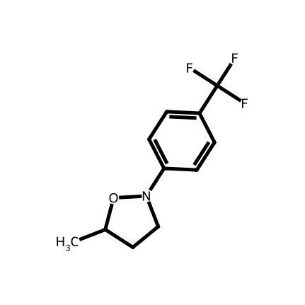 CC1CCN(c2ccc(C(F)(F)F)cc2)O1